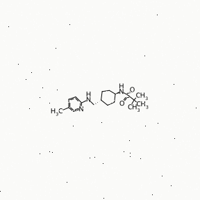 Cc1ccc(NC[C@H]2CC[C@H](NS(=O)(=O)C(C)(C)C)CC2)nc1